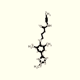 CC#CNC(=O)CCCOc1c(C)cc(-c2nnn(C)n2)cc1C